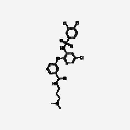 CN(C)CCCNC(=O)c1cccc(Oc2ncc(Cl)cc2NS(=O)(=O)c2ccc(Cl)c(Cl)c2)c1